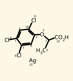 CC(Oc1cc(Cl)c(Cl)cc1Cl)C(=O)O.[Ag]